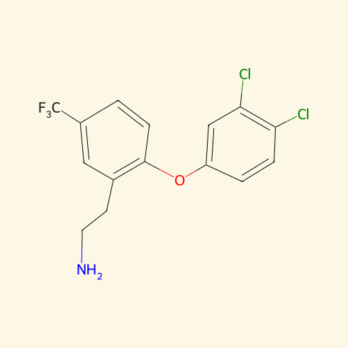 NCCc1cc(C(F)(F)F)ccc1Oc1ccc(Cl)c(Cl)c1